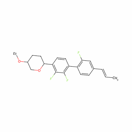 C/C=C/c1ccc(-c2ccc(C3CCC(OCC)CO3)c(F)c2F)c(F)c1